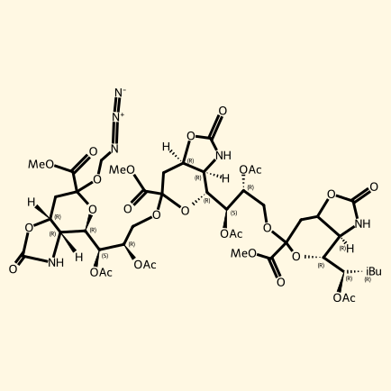 CC[C@@H](C)[C@@H](OC(C)=O)[C@@H]1OC(OC[C@@H](OC(C)=O)[C@@H](OC(C)=O)[C@@H]2OC(OC[C@@H](OC(C)=O)[C@@H](OC(C)=O)[C@@H]3OC(OCN=[N+]=[N-])(C(=O)OC)C[C@H]4OC(=O)N[C@@H]34)(C(=O)OC)C[C@H]3OC(=O)N[C@@H]23)(C(=O)OC)CC2OC(=O)N[C@H]21